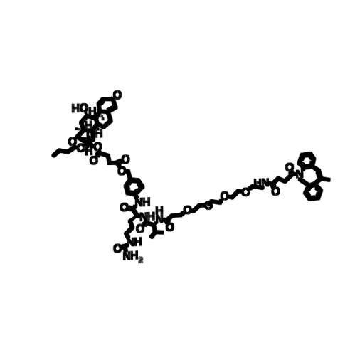 CCCC1O[C@@H]2C[C@H]3[C@@H]4CCC5=CC(=O)C=C[C@]5(C)[C@H]4[C@@H](O)C[C@]3(C)[C@]2(C(=O)COC(=O)CCC(=O)OCc2ccc(NC(=O)[C@H](CCCNC(N)=O)NC(=O)[C@@H](NC(=O)CCOCCOCCOCCOCCNC(=O)CCC(=O)N3Cc4ccccc4/C(C)=C\c4ccccc43)C(C)C)cc2)O1